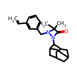 C=Cc1cccc(CN2N(C3C4CC5CC(C4)CC3C5)C(=O)C2(C)C)c1